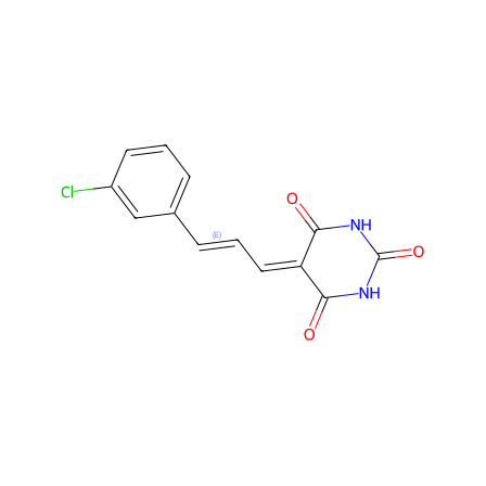 O=C1NC(=O)C(=C/C=C/c2cccc(Cl)c2)C(=O)N1